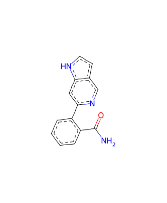 NC(=O)c1ccccc1-c1cc2[nH]ccc2cn1